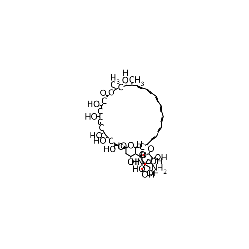 C[C@H]1C[C@H](O)[C@@H](C)/C=C/C=C/C=C/C=C/C=C/C=C/C=C/C(O[C@@H]2OC[C@@H](O)[C@H](N)[C@@H]2O)C[C@@H]2OC(O)(CC(O)CC(O)[C@H](O)CCC(O)CC(O)CC(=O)O1)C[C@H](O)C2C(=O)NC(CO)(CO)CO